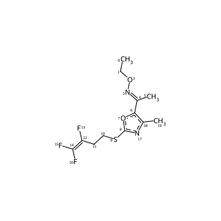 CCO/N=C(\C)c1oc(SCCC(F)=C(F)F)nc1C